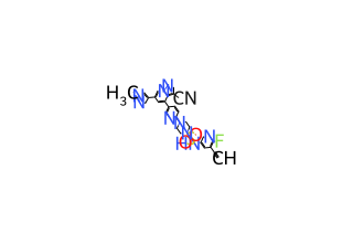 C#Cc1cc(NS(=O)(=O)N2CCN(c3ccc(-c4cc(-c5cnn(C)c5)cn5ncc(C#N)c45)cn3)CC2)cnc1F